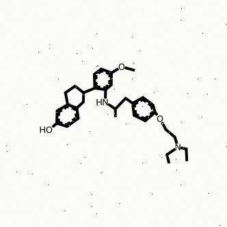 CCN(CC)CCOc1ccc(CC(C)Nc2cc(OC)ccc2C2CCc3cc(O)ccc3C2)cc1